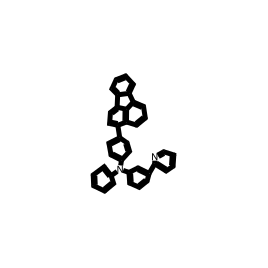 c1ccc(N(c2ccc(-c3ccc4c5c(cccc35)-c3ccccc3-4)cc2)c2cccc(-c3ccccn3)c2)cc1